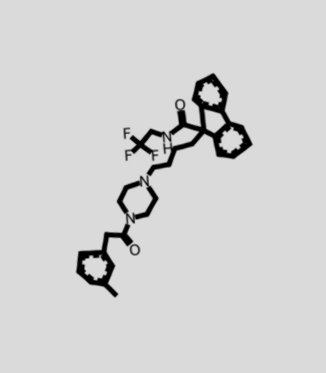 Cc1cccc(CC(=O)N2CCN(CCCCC3(C(=O)NCC(F)(F)F)c4ccccc4-c4ccccc43)CC2)c1